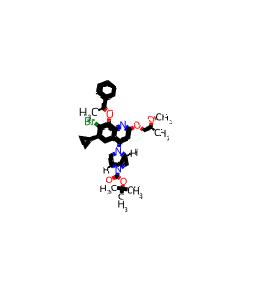 CO[C@@H](C)COc1cc(N2C[C@@H]3C[C@H]2CN3C(=O)OC(C)(C)C)c2cc(C3CC3)c(Br)c(O[C@@H](C)c3ccccc3)c2n1